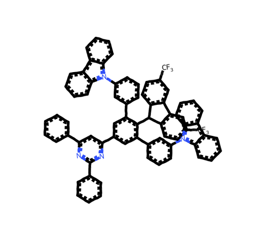 FC(F)(F)c1ccc2c(c1)-c1cc(C(F)(F)F)ccc1C2c1c(-c2cccc(-n3c4ccccc4c4ccccc43)c2)cc(-c2cc(-c3ccccc3)nc(-c3ccccc3)n2)cc1-c1cccc(-n2c3ccccc3c3ccccc32)c1